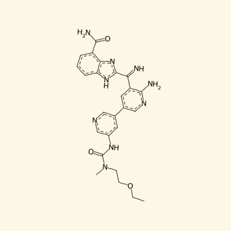 CCOCCN(C)C(=O)Nc1cncc(-c2cnc(N)c(C(=N)c3nc4c(C(N)=O)cccc4[nH]3)c2)c1